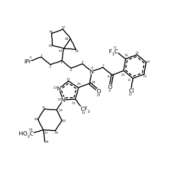 CC(C)CCC(CCN(CC(=O)c1c(Cl)cccc1C(F)(F)F)C(=O)c1cnn(C2CCC(C)(C(=O)O)CC2)c1C(F)(F)F)C12CCCC1C2